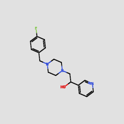 OC(CN1CCN(Cc2ccc(F)cc2)CC1)c1cccnc1